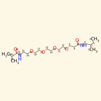 CCC(C)CNC(=O)CCOCCOCCOCCOCCNC(=O)C(C)C